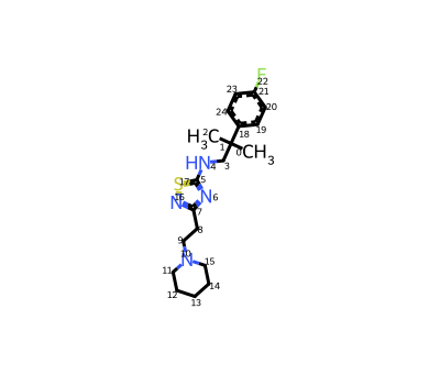 CC(C)(CNc1nc(CCN2CCCCC2)ns1)c1ccc(F)cc1